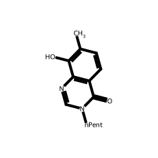 CCCCCn1cnc2c(O)c(C)ccc2c1=O